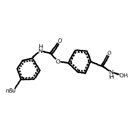 CCCCc1ccc(NC(=O)Oc2ccc(C(=O)NO)cc2)cc1